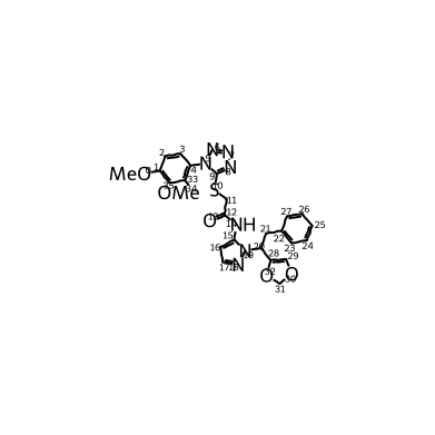 COc1ccc(-n2nnnc2SCC(=O)Nc2ccnn2C(Cc2ccccc2)C2=COCO2)c(OC)c1